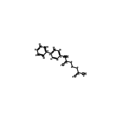 O=C(O)CCCC(=O)Nc1ccc(-c2nncnn2)nc1